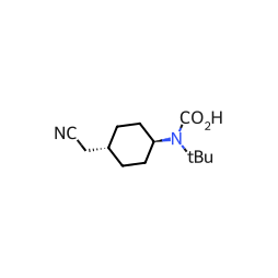 CC(C)(C)N(C(=O)O)[C@H]1CC[C@H](CC#N)CC1